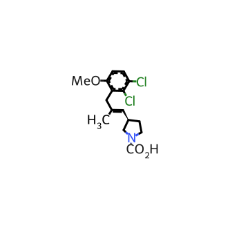 COc1ccc(Cl)c(Cl)c1CC(C)=C[C@H]1CCN(C(=O)O)C1